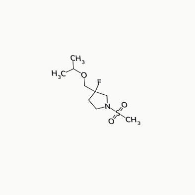 CC(C)OCC1(F)CCN(S(C)(=O)=O)C1